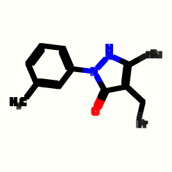 CCCCc1[nH]n(-c2cccc(C)c2)c(=O)c1CC(C)C